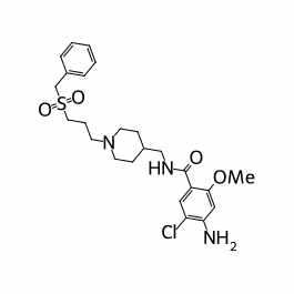 COc1cc(N)c(Cl)cc1C(=O)NCC1CCN(CCCS(=O)(=O)Cc2ccccc2)CC1